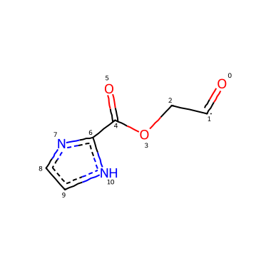 O=[C]COC(=O)c1ncc[nH]1